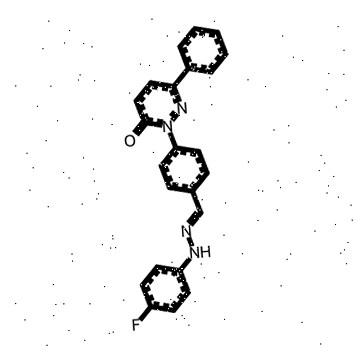 O=c1ccc(-c2ccccc2)nn1-c1ccc(C=NNc2ccc(F)cc2)cc1